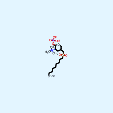 CCCCCCCCCCCCCCCCCCS(=O)(=O)CC(COC)CC(COP(=O)(O)O)[N+](C)(C)C